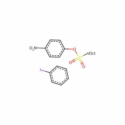 CCCCCCCCS(=O)(=O)Oc1ccc([N+](=O)[O-])cc1.Ic1ccccc1